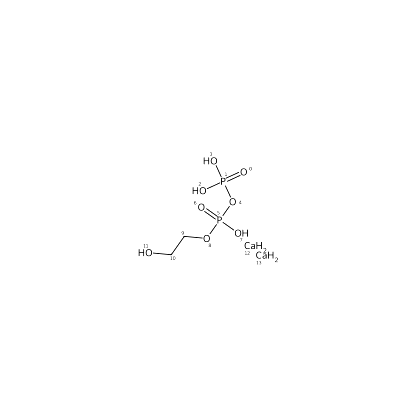 O=P(O)(O)OP(=O)(O)OCCO.[CaH2].[CaH2]